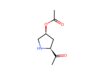 CC(=O)O[C@@H]1CN[C@H](C(C)=O)C1